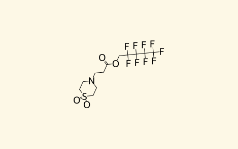 O=C(CCN1CCS(=O)(=O)CC1)OCC(F)(F)C(F)(F)C(F)(F)C(F)(F)F